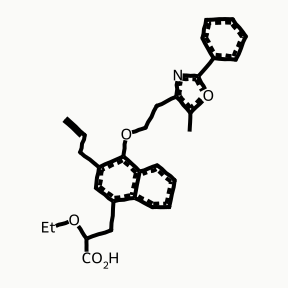 C=CCc1cc(CC(OCC)C(=O)O)c2ccccc2c1OCCc1nc(-c2ccccc2)oc1C